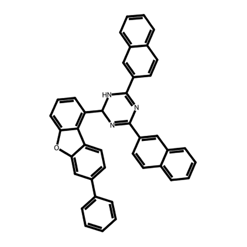 c1ccc(-c2ccc3c(c2)oc2cccc(C4N=C(c5ccc6ccccc6c5)N=C(c5ccc6ccccc6c5)N4)c23)cc1